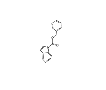 O=C(OCc1ccccc1)n1[c]cc2ccccc21